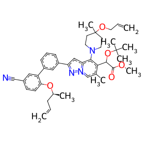 C=CCOC1(C)CCN(c2c(C(OC(C)(C)C)C(=O)OC)c(C)cn3nc(-c4cccc(-c5cc(C#N)ccc5O[C@@H](C)CC=C)c4)cc23)CC1